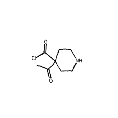 CC(=O)C1(C(=O)Cl)CCNCC1